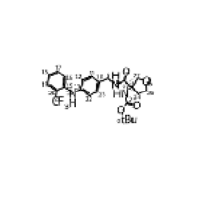 CC(C)(C)OC(=O)N[C@@]1(C(=O)NCc2ccc(Nc3ccccc3C(F)(F)F)cc2)CCOC1